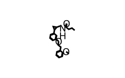 CCCC(=O)NCC1CC1c1cccc(OCCc2ccccc2OC)c1